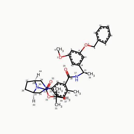 COc1cc(OCc2ccccc2)cc([C@@H](C)NC(=O)c2cc(N3C[C@H]4CC[C@@H](C3)N4C(=O)OC(C)(C)C)ccc2C)c1